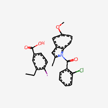 CCc1cc(C(=O)O)ccc1I.COc1ccc2c(c1)cc(C)n2C(=O)c1ccccc1Cl